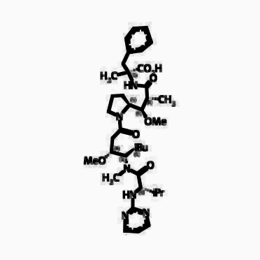 CC[C@H](C)[C@@H]([C@@H](CC(=O)N1CCC[C@H]1[C@H](OC)[C@@H](C)C(=O)N[C@@](C)(Cc1ccccc1)C(=O)O)OC)N(C)C(=O)[C@@H](Nc1ncccn1)C(C)C